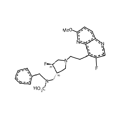 COc1ccc2ncc(F)c(CCN3C[C@H](CN(Cc4ccccc4)C(=O)O)[C@@H](F)C3)c2n1